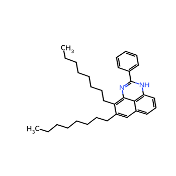 CCCCCCCCc1cc2cccc3c2c(c1CCCCCCCC)N=C(c1ccccc1)N3